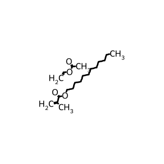 C=C(C)C(=O)OCCCCCCCCCCCC.C=COC(C)=O